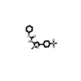 Cn1nc(-c2ccc(S(C)(=O)=O)cc2)cc1NC(=O)Oc1ccccc1